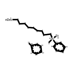 CCCCCCCCCCCCCCCCCCC[N+](C)(CC)c1ccccc1.Cc1ccccc1